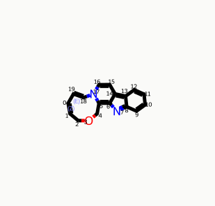 C1=C\COCc2c3nc4ccccc4c-3ccn2/C=C/1